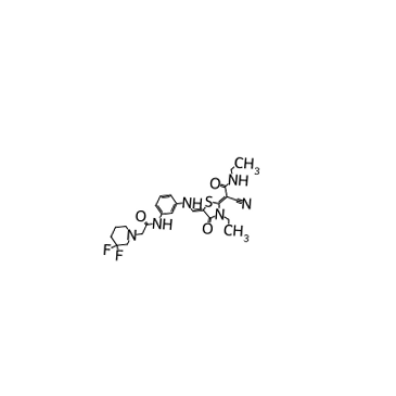 CCNC(=O)C(C#N)=c1sc(=CNc2cccc(NC(=O)CN3CCCC(F)(F)C3)c2)c(=O)n1CC